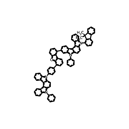 CC1(C)c2ccccc2-c2cccc(-n3c4ccccc4c4c5c6ccc(-c7cccc8oc9c(-c%10ccc(-n%11c%12ccccc%12c%12c%13c%14ccccc%14n(-c%14ccccc%14)c%13ccc%12%11)cc%10)cccc9c78)cc6n(-c6ccccc6)c5ccc43)c21